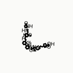 COc1cc(/C(F)=C/c2cccc(-c3cccc(NC(=O)c4nc5c(n4C)CCN(CCC46CCC(C(=O)O)(CC4)C6)C5)c3Cl)c2Cl)ncc1CNC[C@@H]1CCC(=O)N1